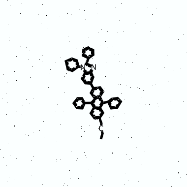 CCCCc1ccc2c(-c3ccccc3)c3cc(-c4ccc5c(c4)nc(-c4ccccc4)n5-c4ccccc4)ccc3c(-c3ccccc3)c2c1